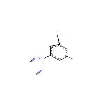 C=NN(N=C)c1cc(C(=O)O)cc(C(F)(F)F)c1